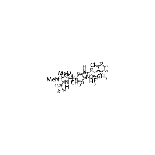 CNC(=O)[C@H](NC(=O)C(C)(COC)c1ccc2nc(CC(c3ccccc3Cl)C(C)(C)F)[nH]c2c1)C1CCC1